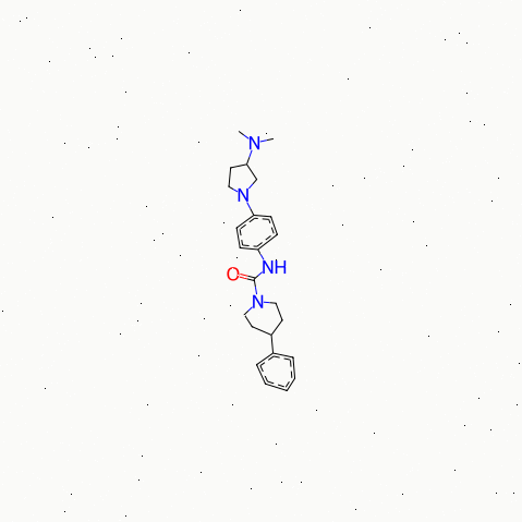 CN(C)C1CCN(c2ccc(NC(=O)N3CCC(c4ccccc4)CC3)cc2)C1